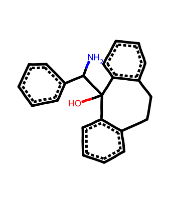 NC(c1ccccc1)C1(O)c2ccccc2CCc2ccccc21